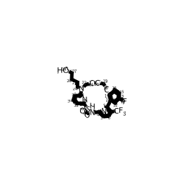 O=S1(=O)Nc2ccc(C(F)(F)F)c(n2)-c2cc(F)ccc2CCCCCN(CCCCO)c2cccc1n2